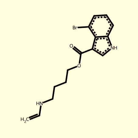 C=CNCCCCOC(=O)c1c[nH]c2cccc(Br)c12